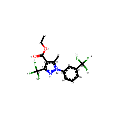 CCOC(=O)c1c(C(F)(F)F)nn(-c2cccc(C(F)(F)F)c2)c1C